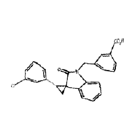 O=C(O)c1cccc(CN2C(=O)[C@]3(C[C@@H]3c3cccc(Cl)c3)c3ccccc32)c1